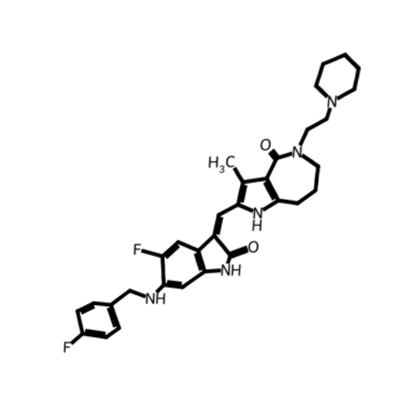 Cc1c(C=C2C(=O)Nc3cc(NCc4ccc(F)cc4)c(F)cc32)[nH]c2c1C(=O)N(CCN1CCCCC1)CCC2